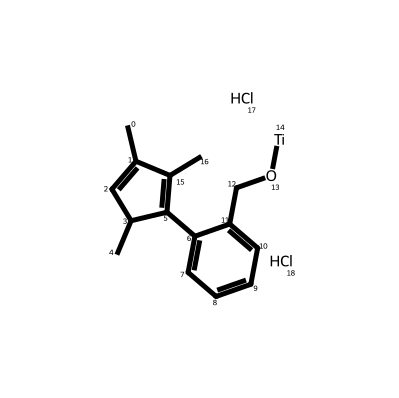 CC1=CC(C)C(c2ccccc2C[O][Ti])=C1C.Cl.Cl